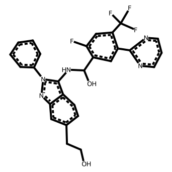 OCCc1ccc2c(NC(O)c3cc(-c4ncccn4)c(C(F)(F)F)cc3F)n(-c3ccccc3)nc2c1